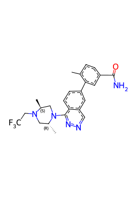 Cc1ccc(C(N)=O)cc1-c1ccc2c(N3C[C@H](C)N(CC(F)(F)F)C[C@H]3C)nncc2c1